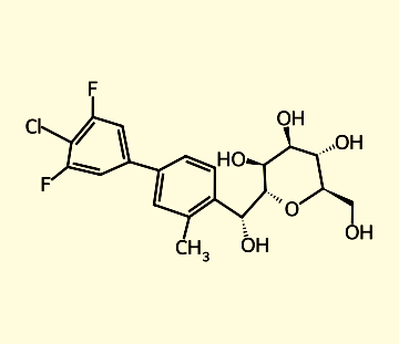 Cc1cc(-c2cc(F)c(Cl)c(F)c2)ccc1[C@@H](O)[C@H]1O[C@H](CO)[C@@H](O)[C@H](O)[C@@H]1O